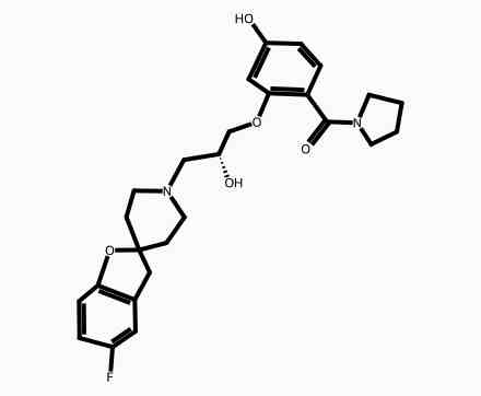 O=C(c1ccc(O)cc1OC[C@H](O)CN1CCC2(CC1)Cc1cc(F)ccc1O2)N1CCCC1